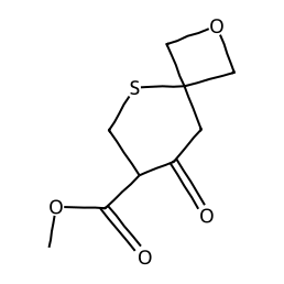 COC(=O)C1CSC2(COC2)CC1=O